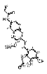 C=CC(=O)Nc1ccc(CN(CCc2ccc(O)c3[nH]c(=O)sc23)C(=O)OC(C)(C)C)cc1